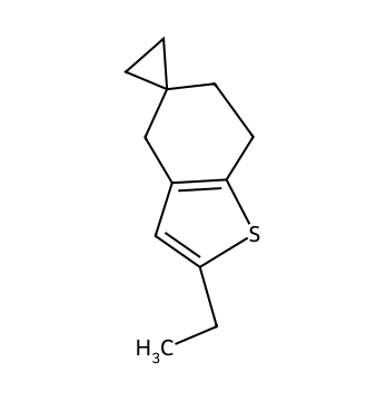 CCc1cc2c(s1)CCC1(CC1)C2